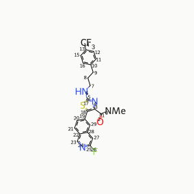 CNC(=O)c1nc(NCCCc2ccc(C(F)(F)F)cc2)sc1-c1ccc2cnc(F)cc2c1